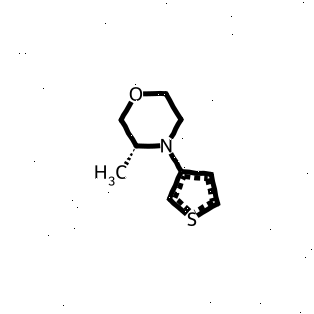 C[C@@H]1COCCN1c1ccsc1